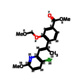 COCOc1cc(C(=O)OC)ccc1C(C)=Cc1nc(OC)ccc1Br